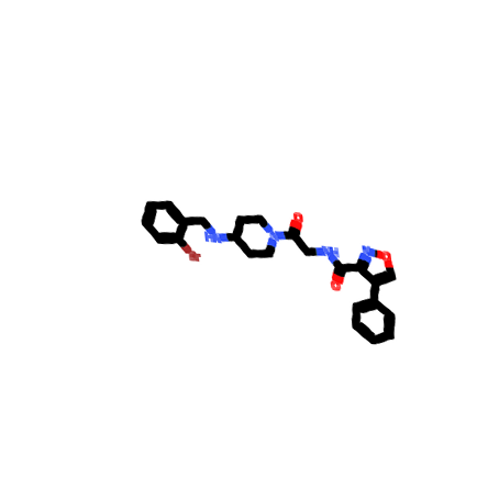 O=C(NCC(=O)N1CCC(NCc2ccccc2Br)CC1)c1nocc1-c1ccccc1